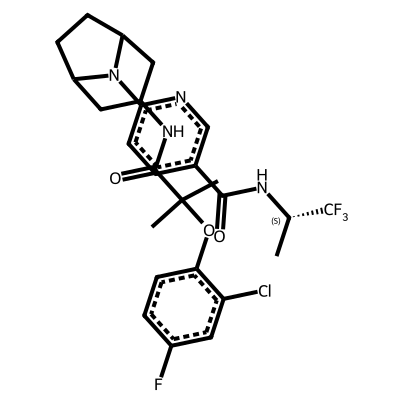 C[C@H](NC(=O)c1ccc(N2C3CCC2CC(NC(=O)C(C)(C)Oc2ccc(F)cc2Cl)C3)nc1)C(F)(F)F